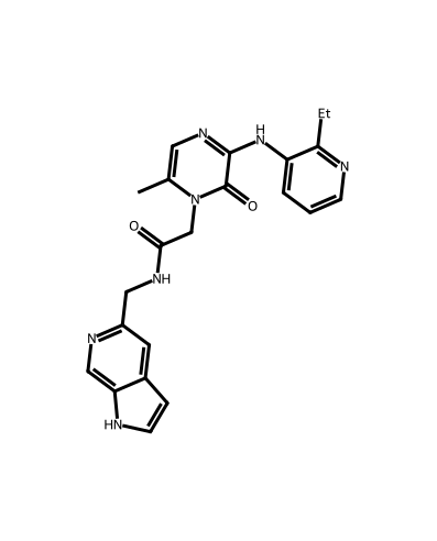 CCc1ncccc1Nc1ncc(C)n(CC(=O)NCc2cc3cc[nH]c3cn2)c1=O